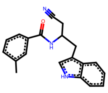 Cc1cccc(C(=O)NC(CC#N)Cc2c[nH]c3ccccc23)c1